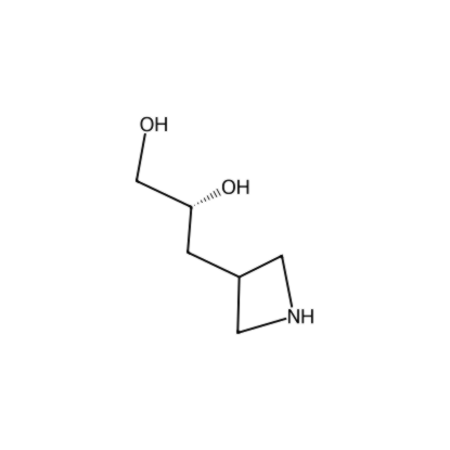 OC[C@H](O)CC1CNC1